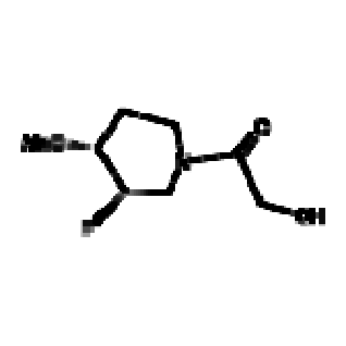 CO[C@@H]1CCN(C(=O)CO)C[C@H]1F